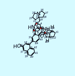 O=C(NC1CCNCC1)N1[C@@H]2CC[C@H]1CN(c1nc(OCC34CCCN3CCC4)nc3cc(-c4cc(O)cc5ccccc45)ccc13)C2